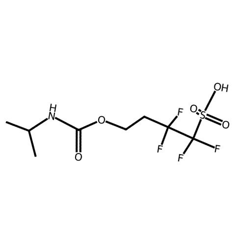 CC(C)NC(=O)OCCC(F)(F)C(F)(F)S(=O)(=O)O